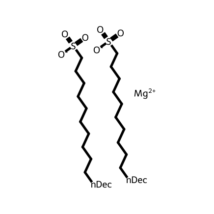 CCCCCCCCCCCCCCCCCCCCS(=O)(=O)[O-].CCCCCCCCCCCCCCCCCCCCS(=O)(=O)[O-].[Mg+2]